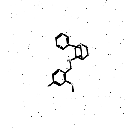 COc1cc(F)ccc1CNC1C2CCN(CC2)C1c1ccccc1